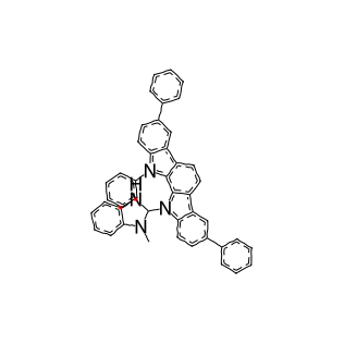 CN1c2ccccc2NC1n1c2ccc(-c3ccccc3)cc2c2ccc3c4cc(-c5ccccc5)ccc4n(-c4ccccc4)c3c21